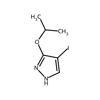 CC(C)Oc1n[nH]cc1I